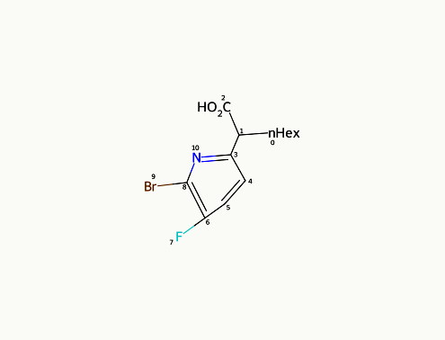 CCCCCCC(C(=O)O)c1ccc(F)c(Br)n1